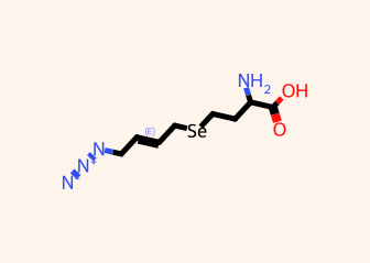 [N-]=[N+]=NC/C=C/C[Se]CCC(N)C(=O)O